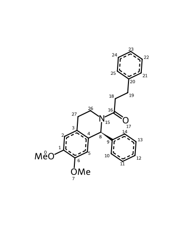 COc1cc2c(cc1OC)[C@H](c1ccccc1)N(C(=O)CCc1ccccc1)CC2